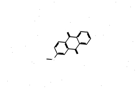 CNc1ccc2c(c1)C(=O)c1ccccc1C2=O